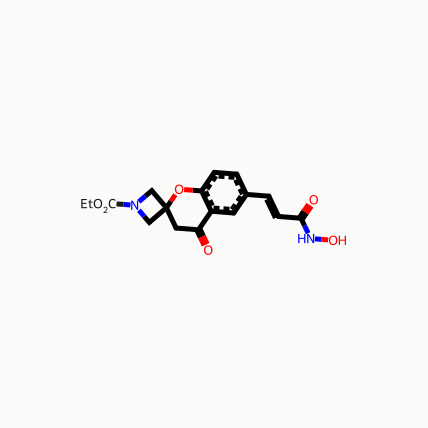 CCOC(=O)N1CC2(CC(=O)c3cc(C=CC(=O)NO)ccc3O2)C1